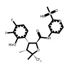 COc1c([C@@H]2[C@@H](C(=O)Nc3ccnc(S(C)(=N)=O)c3)O[C@](C)(C(F)(F)F)[C@@H]2C)ccc(F)c1F